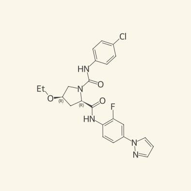 CCO[C@@H]1C[C@H](C(=O)Nc2ccc(-n3cccn3)cc2F)N(C(=O)Nc2ccc(Cl)cc2)C1